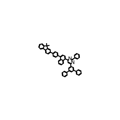 CC1(C)c2ccccc2-c2ccc(-c3ccc(-c4ccc(-c5cc(-c6cc(-c7ccccc7)cc(-c7ccccc7)c6)nc(-c6ccccc6)n5)c5ccccc45)cc3)cc21